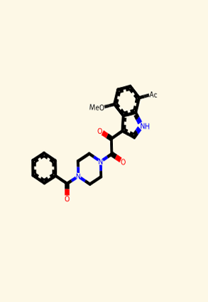 COc1ccc(C(C)=O)c2[nH]cc(C(=O)C(=O)N3CCN(C(=O)c4ccccc4)CC3)c12